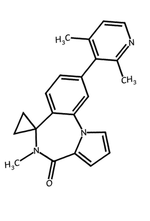 Cc1ccnc(C)c1-c1ccc2c(c1)-n1cccc1C(=O)N(C)C21CC1